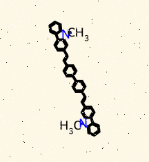 Cn1c2ccccc2c2ccc(C=Cc3ccc(-c4ccc(C=Cc5ccc6c7ccccc7n(C)c6c5)cc4)cc3)cc21